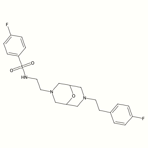 O=S(=O)(NCCN1CC2CN(CCc3ccc(F)cc3)CC(C1)O2)c1ccc(F)cc1